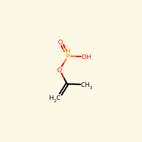 C=C(C)O[PH](=O)O